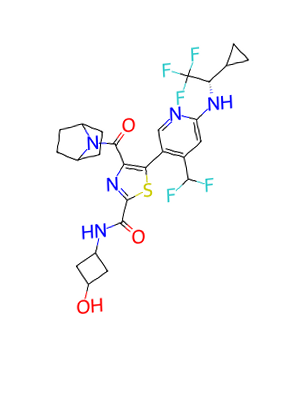 O=C(NC1CC(O)C1)c1nc(C(=O)N2C3CCC2CC3)c(-c2cnc(N[C@@H](C3CC3)C(F)(F)F)cc2C(F)F)s1